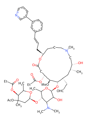 CCC(=O)O[C@@H]1CC(=O)O[C@@H](C/C=C/c2cccc(-c3cccnc3)c2)CCCN(C)C[C@H](O)[C@H](C)C[C@H](CC=O)[C@H](O[C@@H]2OC(C)[C@@H](O[C@H]3CC(C)(OC(C)=O)[C@@H](OC(=O)CC)C(C)O3)C(N(C)C)C2O)[C@H]1OC